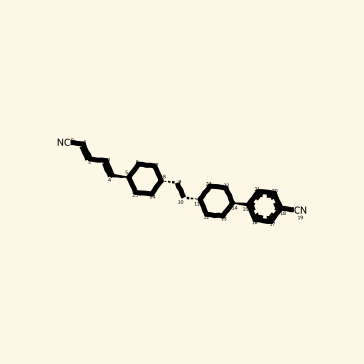 N#CC=CC=C[C@H]1CC[C@H](CC[C@H]2CC[C@H](c3ccc(C#N)cc3)CC2)CC1